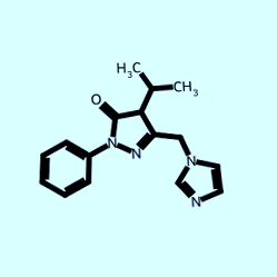 CC(C)C1C(=O)N(c2ccccc2)N=C1Cn1ccnc1